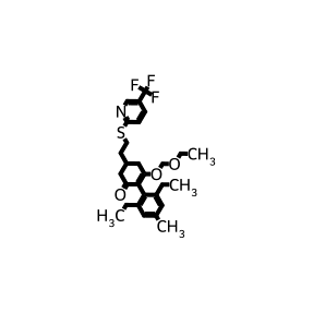 CCOCOC1=C(c2c(CC)cc(C)cc2CC)C(=O)CC(CCSc2ccc(C(F)(F)F)cn2)C1